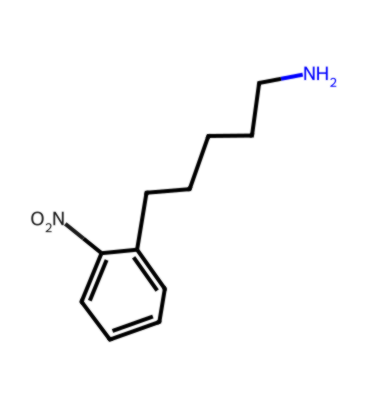 NCCCCCc1ccccc1[N+](=O)[O-]